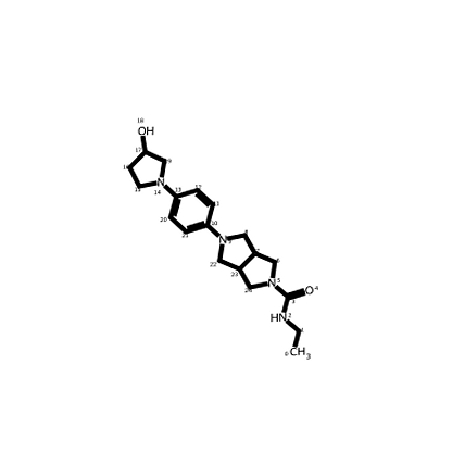 CCNC(=O)N1CC2CN(c3ccc(N4CCC(O)C4)cc3)CC2C1